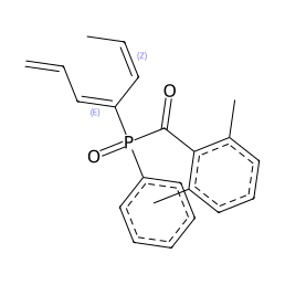 C=C/C=C(\C=C/C)P(=O)(C(=O)c1c(C)cccc1C)c1ccccc1